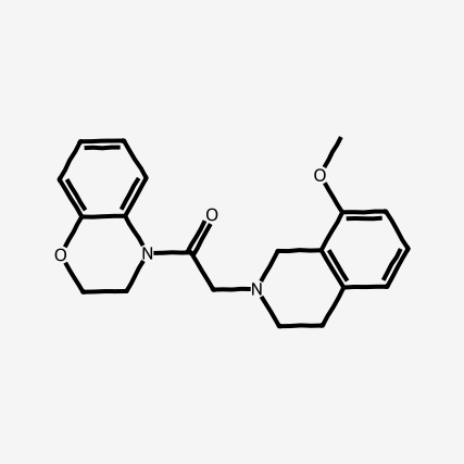 COc1cccc2c1CN(CC(=O)N1CCOc3ccccc31)CC2